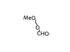 COCCCOC[C]=O